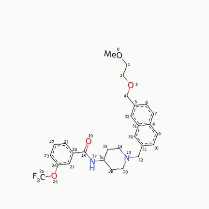 COCCOCc1ccc2ccc(CN3CCC(NC(=O)c4cccc(OC(F)(F)F)c4)CC3)cc2c1